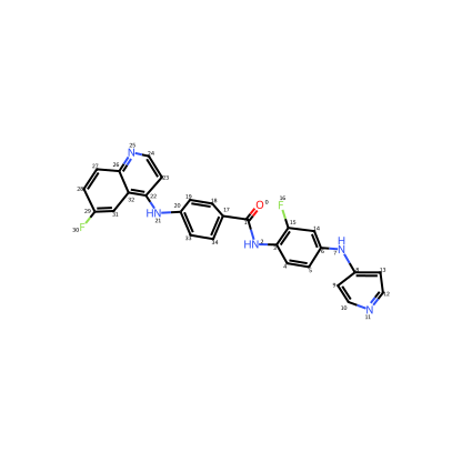 O=C(Nc1ccc(Nc2ccncc2)cc1F)c1ccc(Nc2ccnc3ccc(F)cc23)cc1